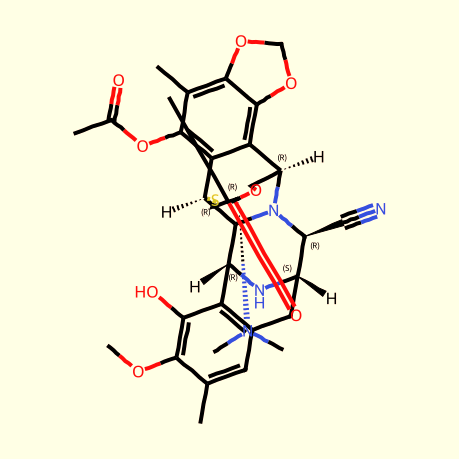 COc1c(C)cc2c(c1O)[C@H]1N[C@@H](C2)[C@H](C#N)N2C1[C@@H]1SC[C@H](N(C)C)C(=O)OC[C@H]2c2c3c(c(C)c(OC(C)=O)c21)OCO3